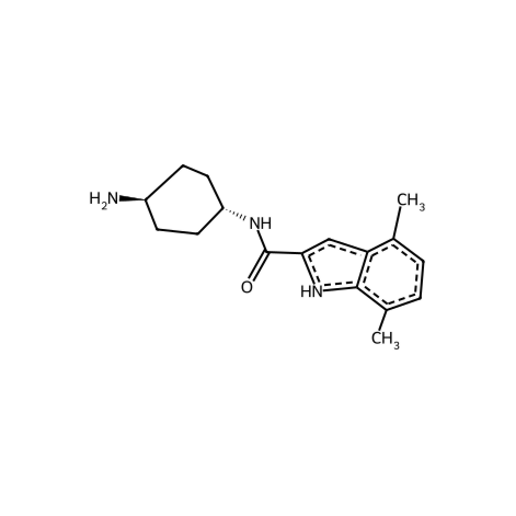 Cc1ccc(C)c2[nH]c(C(=O)N[C@H]3CC[C@H](N)CC3)cc12